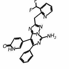 Nc1nc(-c2ccccc2)c(-c2ccc(=O)[nH]c2)c2nc(Cc3ncccc3C(F)F)nn12